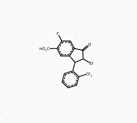 CCC1C(=O)c2cc(F)c(C(=O)O)cc2C1c1ccccc1C(F)(F)F